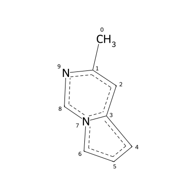 Cc1cc2cccn2cn1